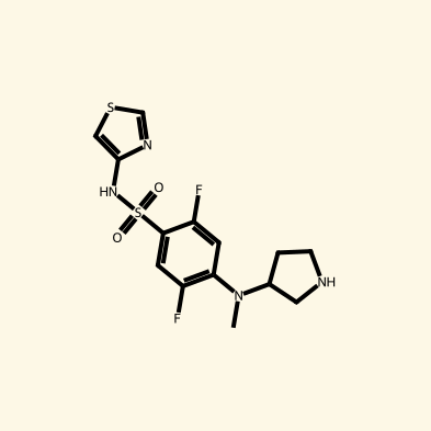 CN(c1cc(F)c(S(=O)(=O)Nc2cscn2)cc1F)C1CCNC1